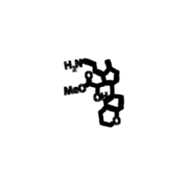 C=c1ccc(-c2ccc3c(c2)CCCO3)c(C(O)C(=O)OC)/c1=C/C=C\N